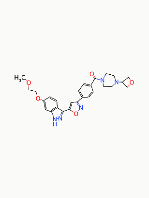 COCCOc1ccc2c(-c3cc(-c4ccc(C(=O)N5CCN(C6COC6)CC5)cc4)no3)n[nH]c2c1